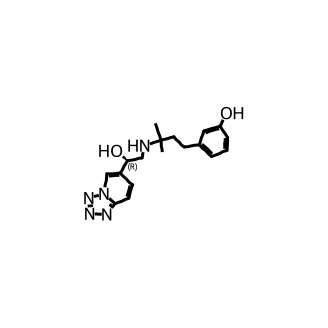 CC(C)(CCc1cccc(O)c1)NC[C@H](O)c1ccc2nnnn2c1